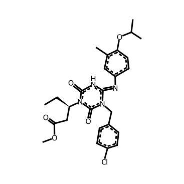 CC[C@H](CC(=O)OC)n1c(=O)[nH]/c(=N\c2ccc(OC(C)C)c(C)c2)n(Cc2ccc(Cl)cc2)c1=O